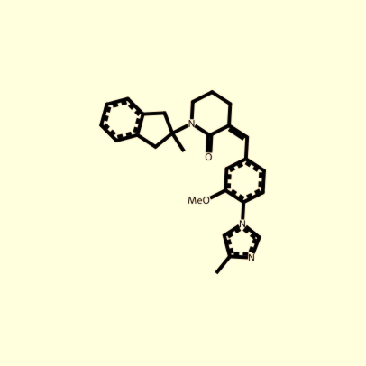 COc1cc(C=C2CCCN(C3(C)Cc4ccccc4C3)C2=O)ccc1-n1cnc(C)c1